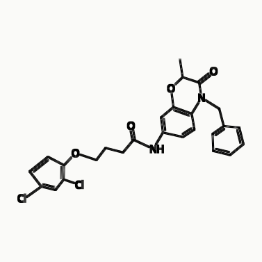 CC1Oc2cc(NC(=O)CCCOc3ccc(Cl)cc3Cl)ccc2N(Cc2ccccc2)C1=O